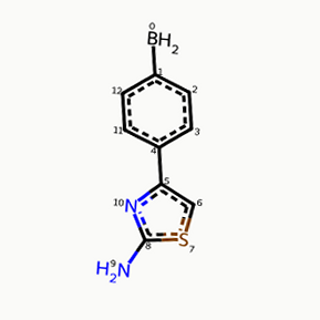 Bc1ccc(-c2csc(N)n2)cc1